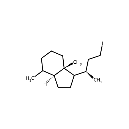 CC1CCC[C@]2(C)C([C@H](C)CCI)CC[C@@H]12